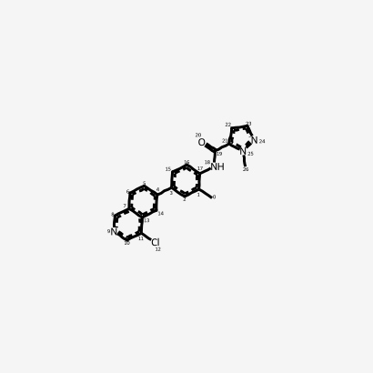 Cc1cc(-c2ccc3cncc(Cl)c3c2)ccc1NC(=O)c1ccnn1C